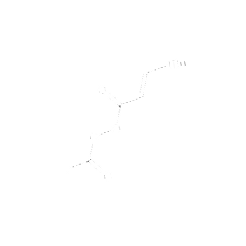 CCC(=O)OOC(=O)C=CC(C)(C)C